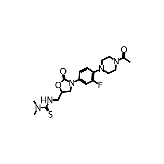 CC(=O)N1CCN(c2ccc(N3CC(CNC(=S)N(C)C)OC3=O)cc2F)CC1